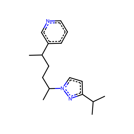 CC(C)c1ccn(C(C)CCC(C)c2cccnc2)n1